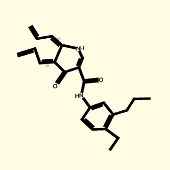 C=C/C=c1/[nH]cc(C(=O)Nc2ccc(CC)c(CCC)c2)c(=O)/c1=C/C=C